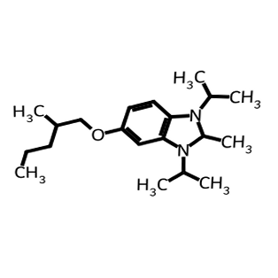 CCCC(C)COc1ccc2c(c1)N(C(C)C)C(C)N2C(C)C